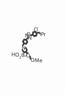 COCCOCC1(OC(=O)O)CCN(Cc2ccc(-c3noc(-c4ccc(CC(C)C)c(Cl)c4)n3)cc2)CC1